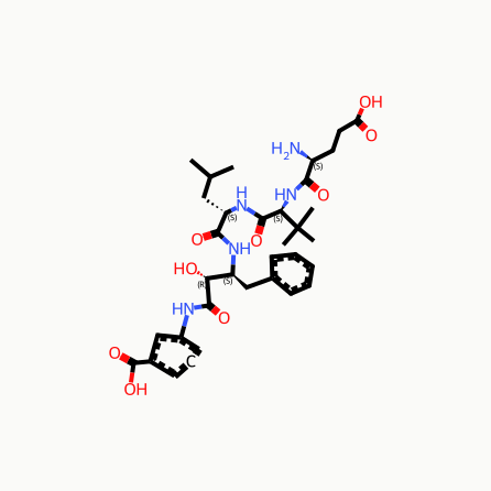 CC(C)C[C@H](NC(=O)[C@@H](NC(=O)[C@@H](N)CCC(=O)O)C(C)(C)C)C(=O)N[C@@H](Cc1ccccc1)[C@@H](O)C(=O)Nc1cccc(C(=O)O)c1